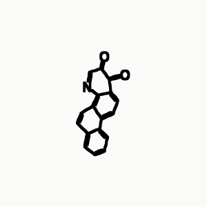 O=C1C=Nc2c(ccc3c2ccc2ccccc23)C1=O